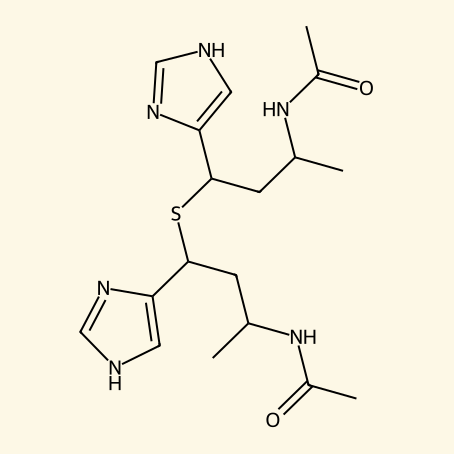 CC(=O)NC(C)CC(SC(CC(C)NC(C)=O)c1c[nH]cn1)c1c[nH]cn1